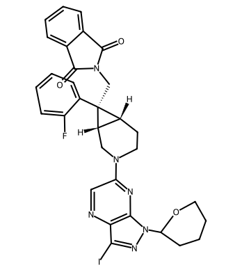 O=C1c2ccccc2C(=O)N1C[C@]1(c2ccccc2F)[C@@H]2CCN(c3cnc4c(I)nn(C5CCCCO5)c4n3)C[C@@H]21